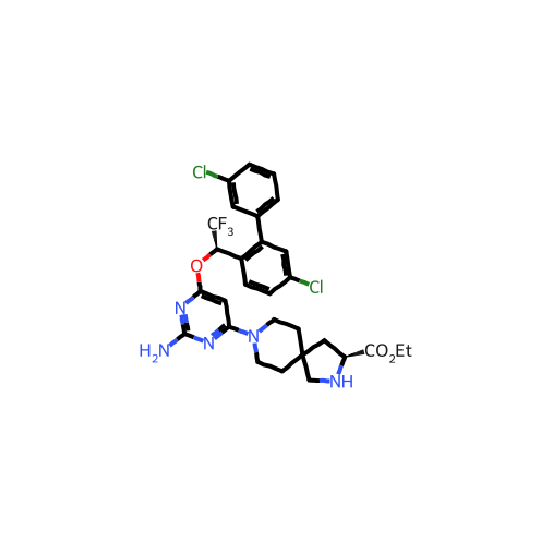 CCOC(=O)[C@@H]1CC2(CCN(c3cc(O[C@H](c4ccc(Cl)cc4-c4cccc(Cl)c4)C(F)(F)F)nc(N)n3)CC2)CN1